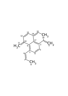 C=Cc1ccc(/C=C\C)c2c(=C)cc/c(=C/C)c12